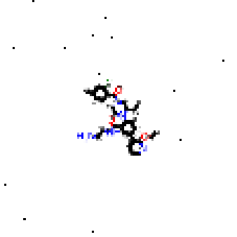 CCOc1ncccc1-c1ccc(N2CCN(C(=O)c3ccc(C)cc3Cl)C[C@H]2CC)c(C(=O)NCCN)c1